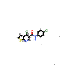 O=C(Nc1ccc(Cl)cc1)c1cnc2sccc2c1Cl